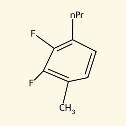 CCCc1ccc(C)c(F)c1F